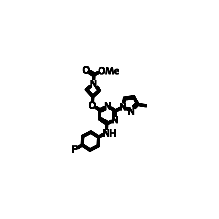 COC(=O)N1CC(Oc2cc(NC3CCC(F)CC3)nc(-n3ccc(C)n3)n2)C1